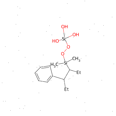 CCC(c1ccccc1)C(CC)[Si](C)(C)OO[Si](O)(O)O